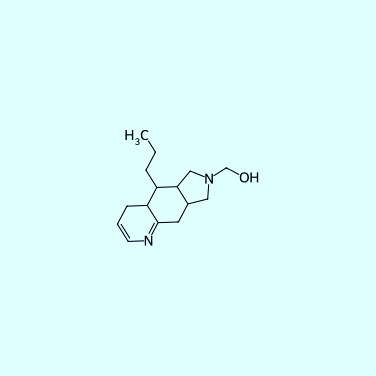 CCCC1C2CC=CN=C2CC2CN(CO)CC21